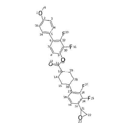 COc1ccc(-c2ccc(OC(=O)C3CCC(c4ccc(C5CO5)c(F)c4F)CC3)c(F)c2F)cc1